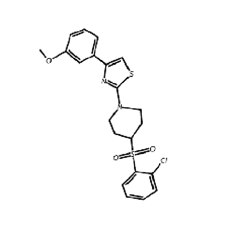 COc1cccc(-c2csc(N3CCC(S(=O)(=O)c4ccccc4Cl)CC3)n2)c1